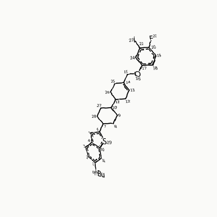 CCCCc1ccc2cc(C3CCC(C4CC=C(COc5ccc(F)c(I)c5)CC4)CC3)sc2c1